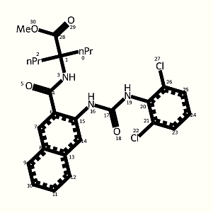 CCCC(CCC)(NC(=O)c1cc2ccccc2cc1NC(=O)Nc1c(Cl)cccc1Cl)C(=O)OC